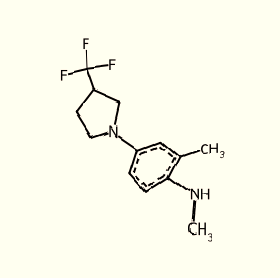 CNc1ccc(N2CCC(C(F)(F)F)C2)cc1C